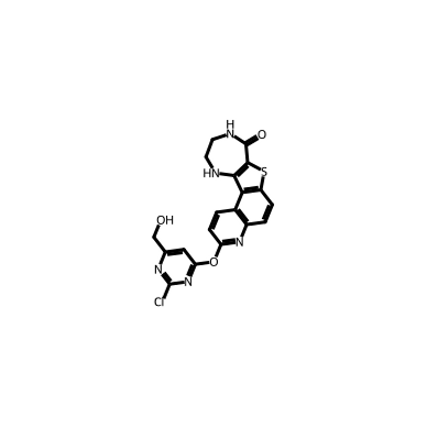 O=C1NCCNc2c1sc1ccc3nc(Oc4cc(CO)nc(Cl)n4)ccc3c21